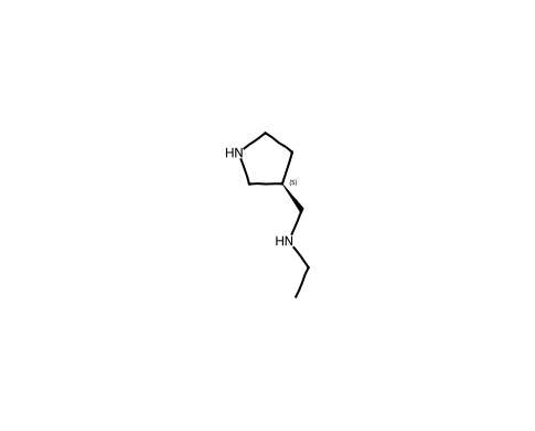 CCNC[C@@H]1CCNC1